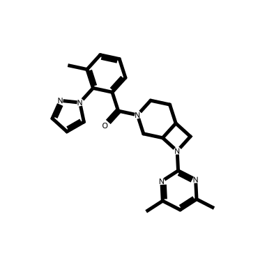 Cc1cc(C)nc(N2CC3CCN(C(=O)c4cccc(C)c4-n4cccn4)CC32)n1